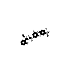 CCOC(=NC(=O)Nc1cc(Cl)c(Oc2ccc([N+](=O)[O-])c(Cl)c2)c(Cl)c1)c1ccccc1F